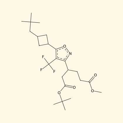 COC(=O)CCC(CC(=O)OC(C)(C)C)c1noc(C2CC(CC(C)(C)C)C2)c1C(F)(F)F